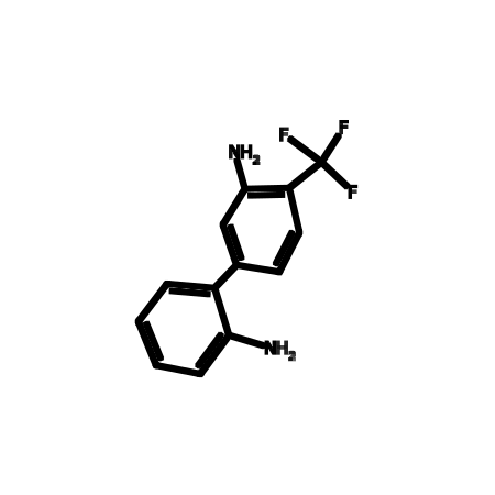 Nc1ccccc1-c1ccc(C(F)(F)F)c(N)c1